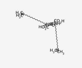 CN(C)CCCCCCCCCCCCCCCCCC(=O)NC(CSSCC(NC(=O)CCCCCCCCCCCCCCCCCN(C)C)C(=O)O)C(=O)O